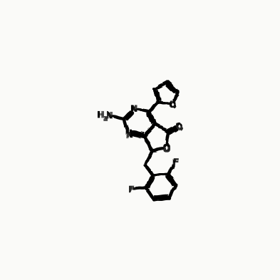 Nc1nc(-c2ccco2)c2c(n1)C(Cc1c(F)cccc1F)OC2=O